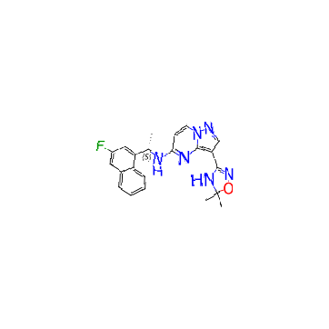 C[C@H](Nc1ccn2ncc(C3=NOC(C)(C)N3)c2n1)c1cc(F)cc2ccccc12